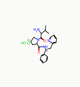 CC(C)C(N)C(=O)N1CCCC1C(=O)N[C@@H](Cc1ccccn1)c1ccccc1.Cl.Cl